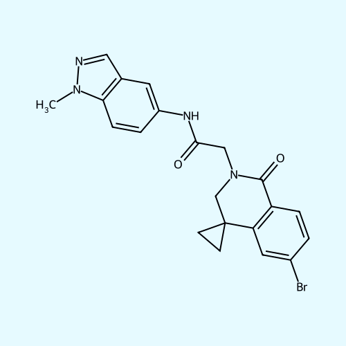 Cn1ncc2cc(NC(=O)CN3CC4(CC4)c4cc(Br)ccc4C3=O)ccc21